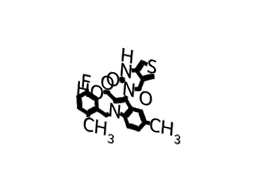 Cc1ccc2c(c1)c(-n1c(=O)[nH]c3cscc3c1=O)c(C(=O)O)n2Cc1cc(F)ccc1C